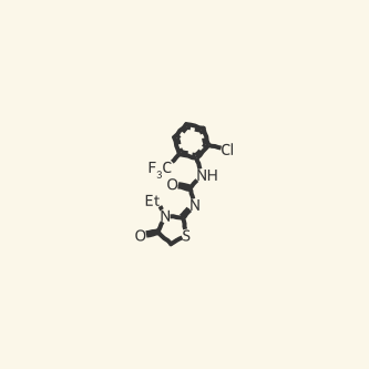 CCN1C(=O)CSC1=NC(=O)Nc1c(Cl)cccc1C(F)(F)F